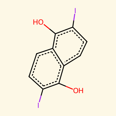 Oc1c(I)ccc2c(O)c(I)ccc12